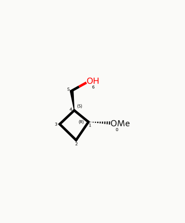 CO[C@@H]1CC[C@H]1CO